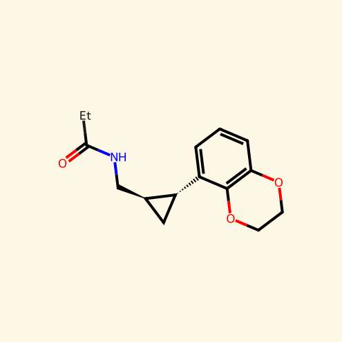 CCC(=O)NC[C@@H]1C[C@H]1c1cccc2c1OCCO2